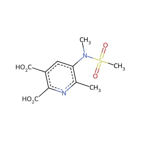 Cc1nc(C(=O)O)c(C(=O)O)cc1N(C)S(C)(=O)=O